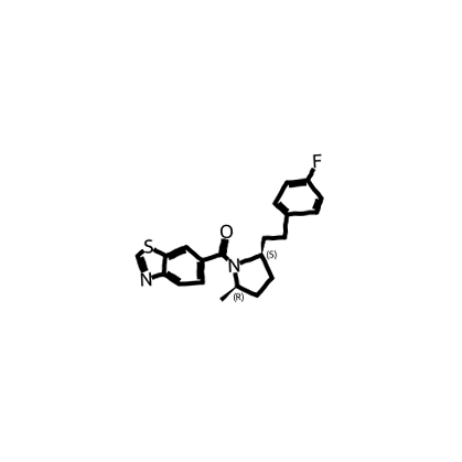 C[C@@H]1CC[C@H](CCc2ccc(F)cc2)N1C(=O)c1ccc2ncsc2c1